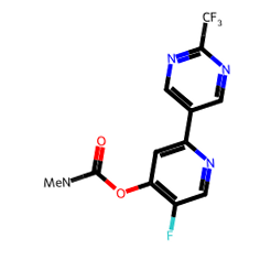 CNC(=O)Oc1cc(-c2cnc(C(F)(F)F)nc2)ncc1F